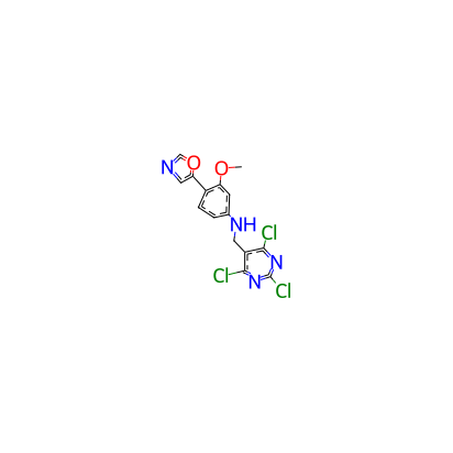 COc1cc(NCc2c(Cl)nc(Cl)nc2Cl)ccc1-c1cnco1